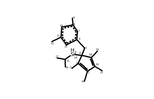 CC1=C(C)C(Cc2cc(C)cc(C)c2)([SiH2]C(C)C)C(C)=C1C